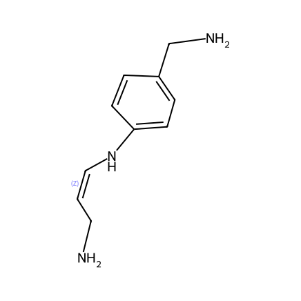 NC/C=C\Nc1ccc(CN)cc1